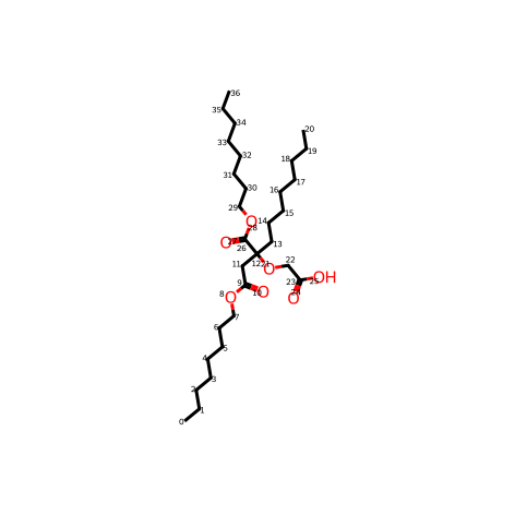 CCCCCCCCOC(=O)CC(CCCCCCCC)(OCC(=O)O)C(=O)OCCCCCCCC